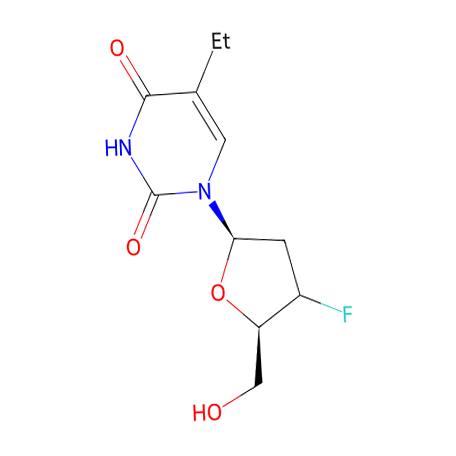 CCc1cn([C@H]2CC(F)[C@@H](CO)O2)c(=O)[nH]c1=O